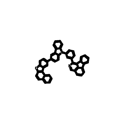 c1cc(-c2ncc3cccc4c3c2-c2ccccc2-4)cc(-n2c3ccccc3c3cc(-c4ccc5oc6ccc7ccccc7c6c5c4)ccc32)c1